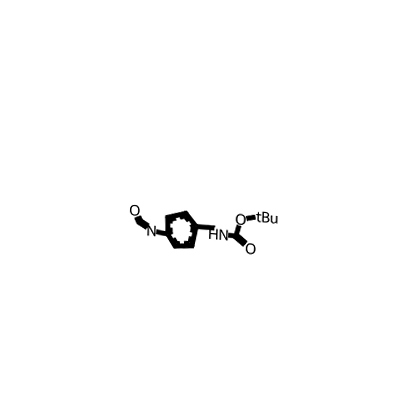 CC(C)(C)OC(=O)NCc1ccc(N=C=O)cc1